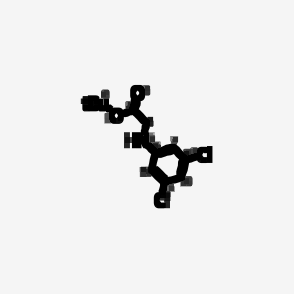 CC(C)(C)OC(=O)CNc1cc(Cl)cc(Cl)c1